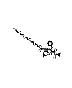 COCCOCCOCCOCCOCCOC(=O)N[C@@H](CC(C)C)C(=O)N[C@@H](Cc1ccccc1)C(=O)C(=O)NC1CC1